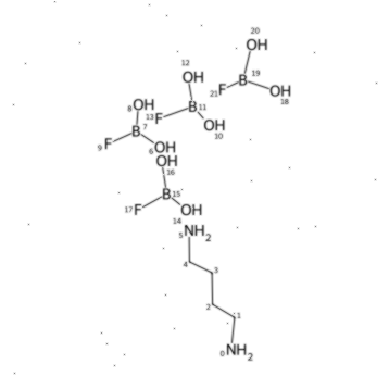 NCCCCN.OB(O)F.OB(O)F.OB(O)F.OB(O)F